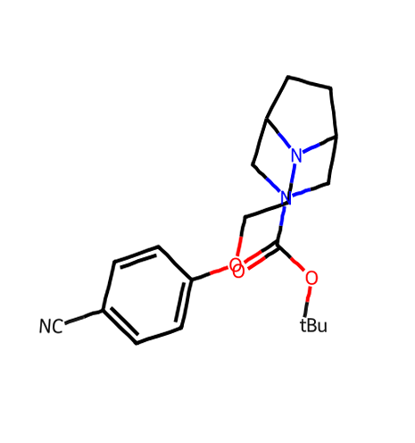 CC(C)(C)OC(=O)N1CC2CCC(C1)N2CCOc1ccc(C#N)cc1